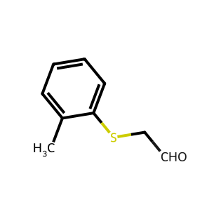 Cc1ccccc1SCC=O